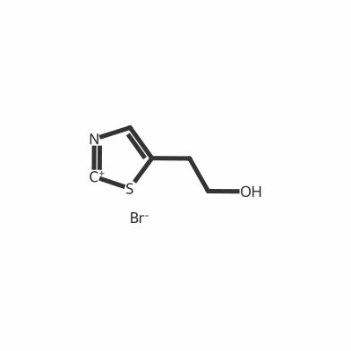 OCCC1=CN=[C+]S1.[Br-]